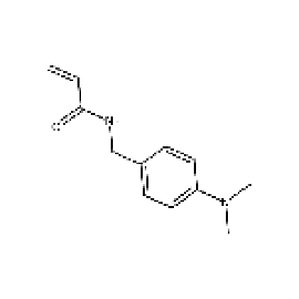 C=CC(=O)NCc1ccc(N(C)C)cc1